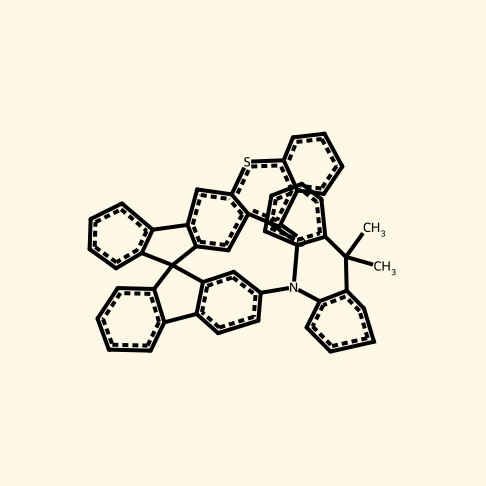 CC1(C)c2ccccc2N(c2ccc3c(c2)C2(c4ccccc4-3)c3ccccc3-c3cc4sc5ccccc5c(=O)c4cc32)c2ccccc21